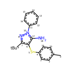 Cc1ccc(Sc2c(C(C)(C)C)nn(-c3ccccc3)c2N)cc1